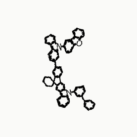 c1ccc(-c2cccc(-n3c4ccccc4c4cc5c(cc43)-c3ccc(-c4ccc6c7ccccc7n(-c7ccc8oc9ccccc9c8c7)c6c4)cc3C53CCCCC3)c2)cc1